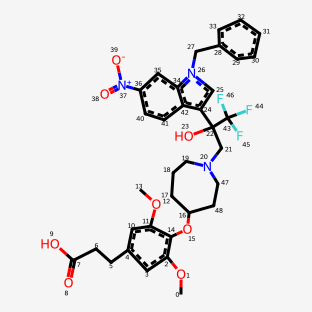 COc1cc(CCC(=O)O)cc(OC)c1OC1CCCN(CC(O)(c2cn(Cc3ccccc3)c3cc([N+](=O)[O-])ccc23)C(F)(F)F)CC1